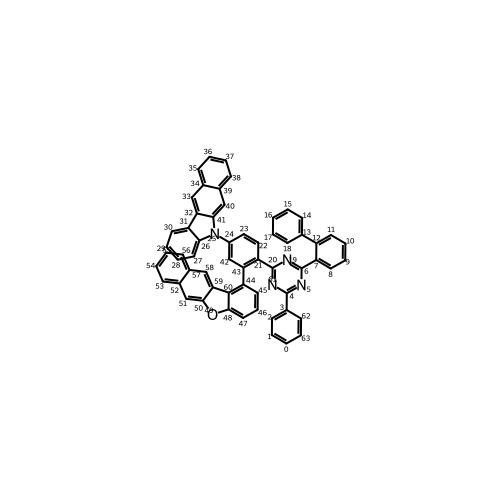 c1ccc(-c2nc(-c3ccccc3-c3ccccc3)nc(-c3ccc(-n4c5ccccc5c5cc6ccccc6cc54)cc3-c3cccc4oc5cc6ccccc6cc5c34)n2)cc1